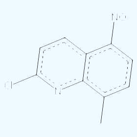 Cc1ccc(N=O)c2ccc(Cl)nc12